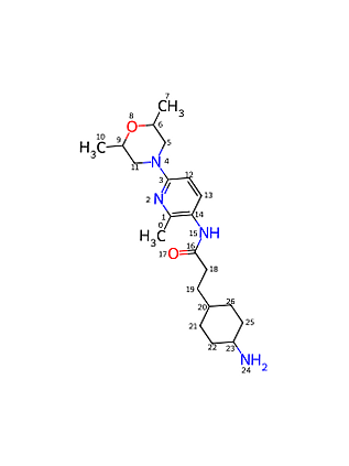 Cc1nc(N2CC(C)OC(C)C2)ccc1NC(=O)CCC1CCC(N)CC1